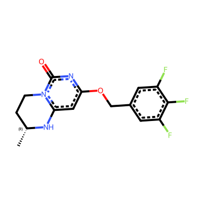 C[C@@H]1CCn2c(cc(OCc3cc(F)c(F)c(F)c3)nc2=O)N1